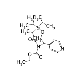 CCOC(=O)N1C(=O)C(O[Si](C(C)C)(C(C)C)C(C)C)C1c1ccncc1